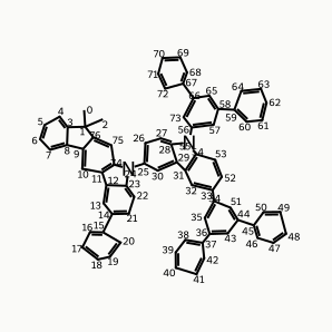 CC1(C)c2ccccc2-c2cc3c4cc(-c5ccccc5)ccc4n(-c4ccc5c(c4)c4cc(-c6cc(-c7ccccc7)cc(-c7ccccc7)c6)ccc4n5-c4cc(-c5ccccc5)cc(-c5ccccc5)c4)c3cc21